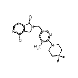 Cc1cc(CN2Cc3c(ccnc3Cl)C2=O)cnc1N1CCC(F)(F)CC1